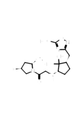 Cc1nc(C[C@H]2CC[C@@H](NCC(=O)N3C[C@@H](F)C[C@H]3C#N)C2(C)C)no1